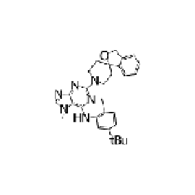 Cc1ccc(C(C)(C)C)cc1Nc1nc(N2CCC3(CC2)OCc2ccccc23)nc2ncn(C)c12